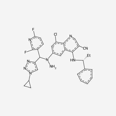 CC[C@@H](Nc1c(C#N)cnc2c(Cl)cc(N(N)C(c3cn(C4CC4)nn3)c3ccc(F)nc3F)cc12)c1ccccc1